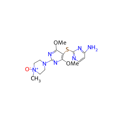 COc1nc(N2CC[N+](C)([O-])CC2)nc(OC)c1Sc1nccc(N)n1